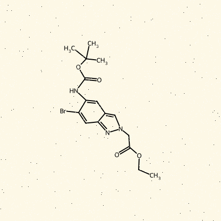 CCOC(=O)Cn1cc2cc(NC(=O)OC(C)(C)C)c(Br)cc2n1